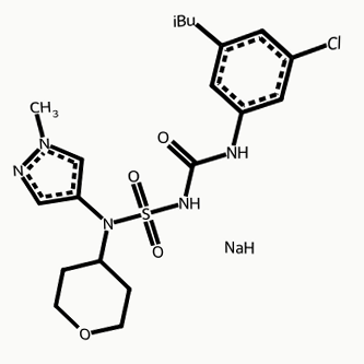 CCC(C)c1cc(Cl)cc(NC(=O)NS(=O)(=O)N(c2cnn(C)c2)C2CCOCC2)c1.[NaH]